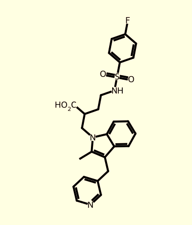 Cc1c(Cc2cccnc2)c2ccccc2n1CC(CCNS(=O)(=O)c1ccc(F)cc1)C(=O)O